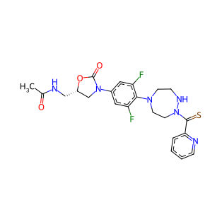 CC(=O)NC[C@H]1CN(c2cc(F)c(N3CCNN(C(=S)c4ccccn4)CC3)c(F)c2)C(=O)O1